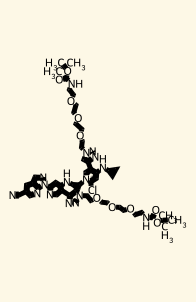 CC(C)(C)OC(=O)NCCOCCOCCOCCn1cc(-c2c[n+](C3CC3Nc3cc(-n4ncc5cc(C#N)cnc54)ncc3-c3cn(CCOCCOCCOCCNC(=O)OC(C)(C)C)nn3)c(Cl)cc2NC2CC2)nn1